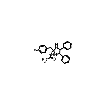 O=C(OC1(Cc2ccc(F)cc2)NC(c2ccccc2)C(c2ccccc2)N1)C(F)(F)F